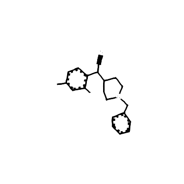 N#CC(c1ccc(F)cc1F)C1CCN(Cc2ccccc2)CC1